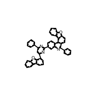 c1ccc(-c2cc(-c3cccc4c3oc3ccccc34)nc(-c3ccc4c(c3)nc(-c3ccccc3)c3ccc5oc6ccccc6c5c34)n2)cc1